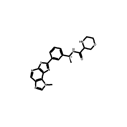 C[C@H](NC(=O)C1COCCN1)c1cccc(-c2nc3c(ncc4ncn(C)c43)s2)c1